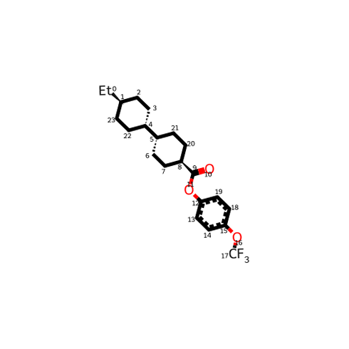 CC[C@H]1CC[C@H]([C@H]2CC[C@H](C(=O)Oc3ccc(OC(F)(F)F)cc3)CC2)CC1